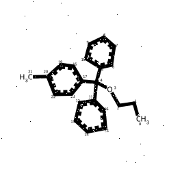 CCCOC(c1ccccc1)(c1ccccc1)c1ccc(C)cc1